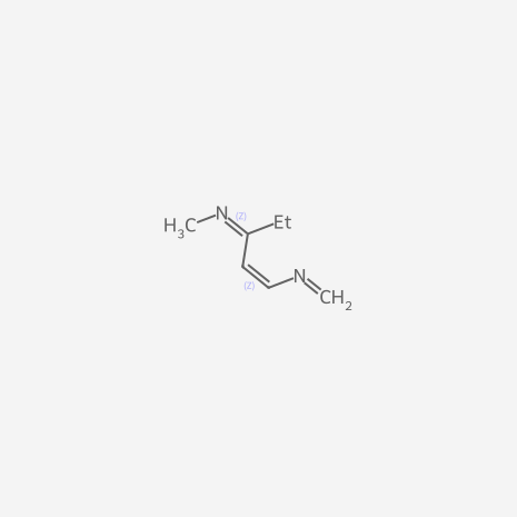 C=N/C=C\C(CC)=N/C